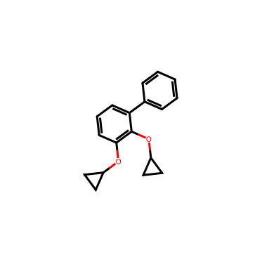 c1ccc(-c2cccc(OC3CC3)c2OC2CC2)cc1